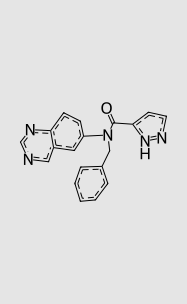 O=C(c1ccn[nH]1)N(Cc1ccccc1)c1ccc2ncncc2c1